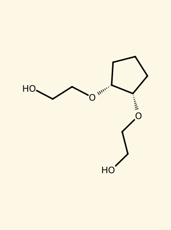 OCCO[C@H]1CCC[C@H]1OCCO